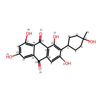 CC1(O)CCC(c2c(O)cc3c(c2O)C(=O)c2c(O)cc(O)cc2C3=O)CC1